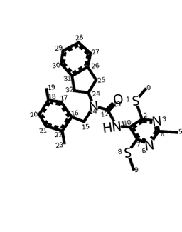 CSc1nc(C)nc(SC)c1NC(=O)N(Cc1cc(C)ccc1C)C1Cc2ccccc2C1